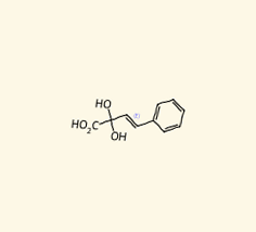 O=C(O)C(O)(O)/C=C/c1ccccc1